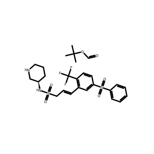 CC(C)(C)OC=O.O=S(=O)(CC=Cc1cc(S(=O)(=O)c2ccccc2)ccc1C(F)(F)F)N[C@@H]1CCCNC1